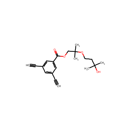 C#Cc1cc(C#C)cc(C(=O)OCC(C)(C)OCCC(C)(C)O)c1